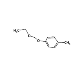 CCOCOc1c[c]c(C)cc1